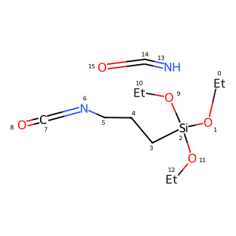 CCO[Si](CCCN=C=O)(OCC)OCC.N=C=O